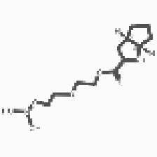 O=C(OCCOCCON(O)O)C1C[C@@H]2CCC[C@@H]2N1